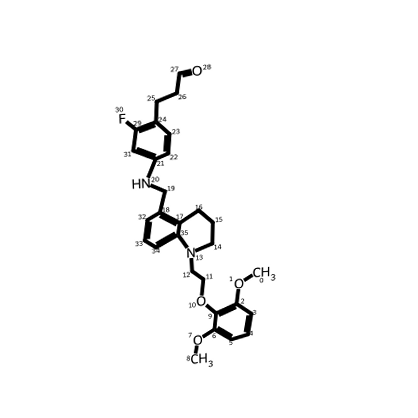 COc1cccc(OC)c1OCCN1CCCc2c(CNc3ccc(CCC=O)c(F)c3)cccc21